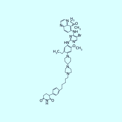 CCc1cc(Nc2ncc(Br)c(Nc3ccc4nccnc4c3P(C)(C)=O)n2)c(OC)cc1N1CCC(N2CCN(CCCCCc3ccc(C4CCC(=O)NC4=O)cc3)CC2)CC1